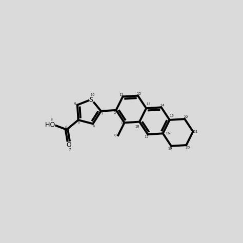 Cc1c(-c2cc(C(=O)O)cs2)ccc2cc3c(cc12)CCCC3